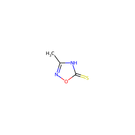 Cc1noc(=S)[nH]1